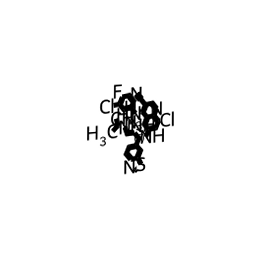 CC(C)N1C=C([C@@H](Nc2cc(Cl)c3ncc(C#N)c(Nc4ccc(F)c(Cl)c4)c3c2)c2ccc3ncsc3c2)NN1